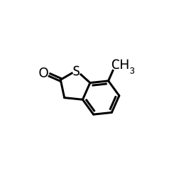 Cc1cccc2c1SC(=O)C2